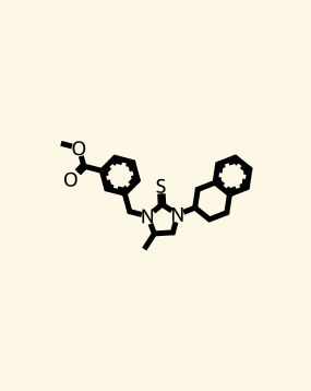 COC(=O)c1cccc(CN2C(=S)N(C3CCc4ccccc4C3)CC2C)c1